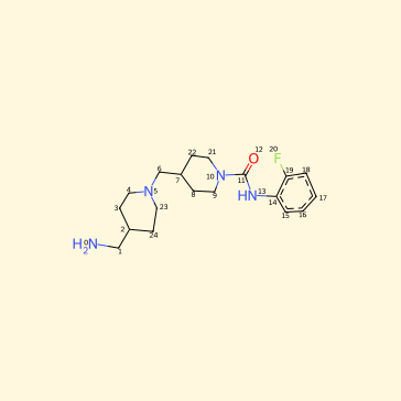 NCC1CCN(CC2CCN(C(=O)Nc3ccccc3F)CC2)CC1